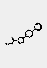 CC(C)(C)OC(=O)N1CCC(N2CCN(c3ccccn3)CC2)C1